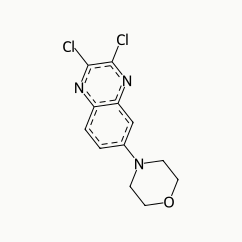 Clc1nc2ccc(N3CCOCC3)cc2nc1Cl